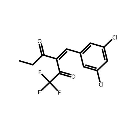 CCC(=O)/C(=C/c1cc(Cl)cc(Cl)c1)C(=O)C(F)(F)F